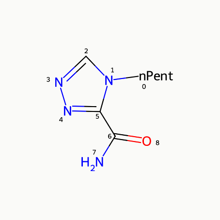 CCCCCn1cnnc1C(N)=O